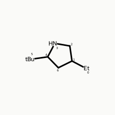 CCC1CNC(C(C)(C)C)C1